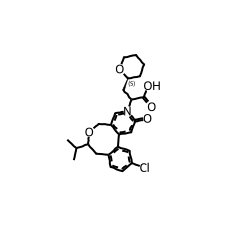 CC(C)C1Cc2ccc(Cl)cc2-c2cc(=O)n(C(C[C@@H]3CCCCO3)C(=O)O)cc2CO1